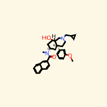 COc1cccc([C@@]23CCN(CC4CC4)C[C@H]2C(O)C[C@@H](N(C)C(=O)c2ccc4ccccc4c2)C3)c1